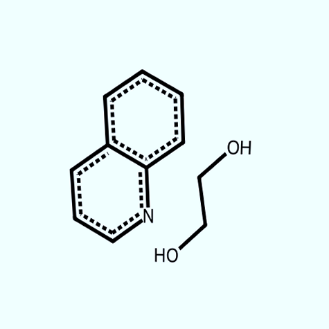 OCCO.c1ccc2ncccc2c1